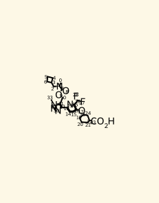 CN(CC1CCC1)C(=O)OCc1c(-c2ccc(O[C@H]3CCC[C@H](C(=O)O)C3)c(C(F)F)n2)nnn1C